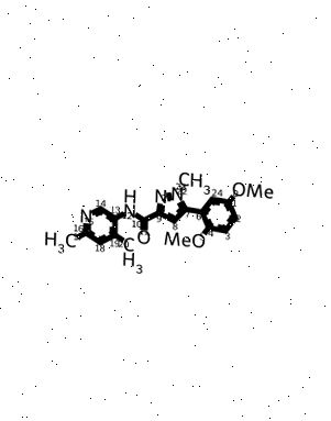 COc1ccc(OC)c(-c2cc(C(=O)Nc3cnc(C)cc3C)nn2C)c1